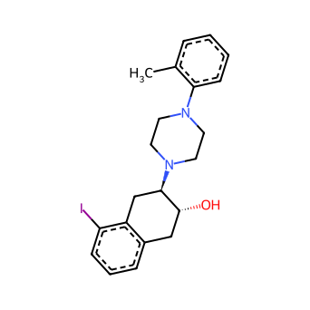 Cc1ccccc1N1CCN([C@@H]2Cc3c(I)cccc3C[C@H]2O)CC1